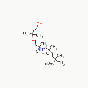 CCCCCCCCCCC(C)(C)CCC(C)(C)CNC(C)(C)CCOC(C)(C)CCO